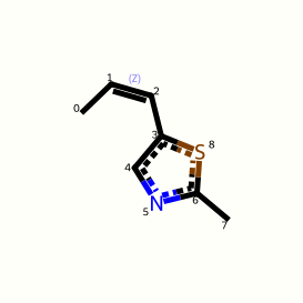 C/C=C\c1cnc(C)s1